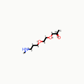 CNCCCOCCOCC(C)=O